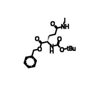 CC(C)(C)OC(=O)N[C@@H](CCC(=O)NI)C(=O)OCc1ccccc1